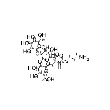 NCCCCC(=O)NCCO[C@H]1OC(CO)[C@@H](O)C(O)C1O[C@H]1OC(CO)[C@@H](O)C(O)C1O[C@@H]1OC(CO)[C@@H](O)C(O)C1O